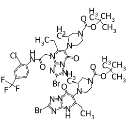 CCc1[nH]c2nc(Br)nn2c(=O)c1N1CCN(C(=O)OC(C)(C)C)C[C@@H]1C.CCc1c(N2CCN(C(=O)OC(C)(C)C)C[C@@H]2C)c(=O)n2nc(Br)nc2n1CC(=O)Nc1ccc(C(F)(F)F)cc1Cl